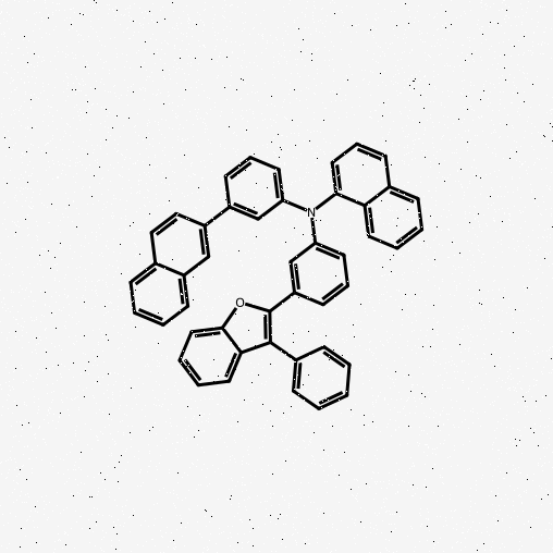 c1ccc(-c2c(-c3cccc(N(c4cccc(-c5ccc6ccccc6c5)c4)c4cccc5ccccc45)c3)oc3ccccc23)cc1